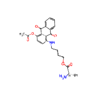 CC(C)[C@H](N)C(=O)OCCCCNc1ccc(OC(=O)C(F)(F)F)c2c1C(=O)c1ccccc1C2=O